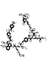 CCCC(C)(CC)SC1CC(=O)N(CCOCCOC(=O)N[C@H](C(=O)N[C@@H](CCCNC(N)=O)C(=O)Nc2ccc(COC(=O)N(C)CCN(CCOCCO)C(=O)Oc3cc4c(c5c(C)cccc35)[C@H](CCl)CN4C(=O)c3cn4cc(NC(=O)c5ccc(O)cc5)ccc4n3)cc2)C(C)C)C1=O